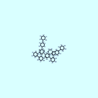 c1c(-c2nc(-c3ccc(-c4ccccc4)cc3)nc(-c3ccccc3-c3ccccc3)n2)ccc(-c2ccccc2-n2c3c(c4cc(-c5ccccc5)ccc42)C=CCC3)c#1